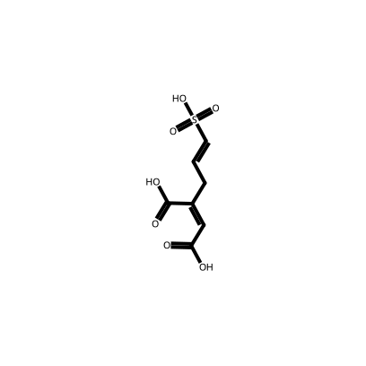 O=C(O)C=C(CC=CS(=O)(=O)O)C(=O)O